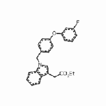 CCOC(=O)Cc1cn(Cc2ccc(Oc3cccc(F)c3)cc2)c2ccccc12